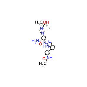 C=CC(=O)Nc1cccc(-c2cccc3cnc(Nc4ccc(N5CCN(CC(C)(C)O)CC5)cc4C(N)=O)nc23)c1